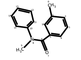 Cc1cccc(C(=O)N(C)c2ccccc2)c1